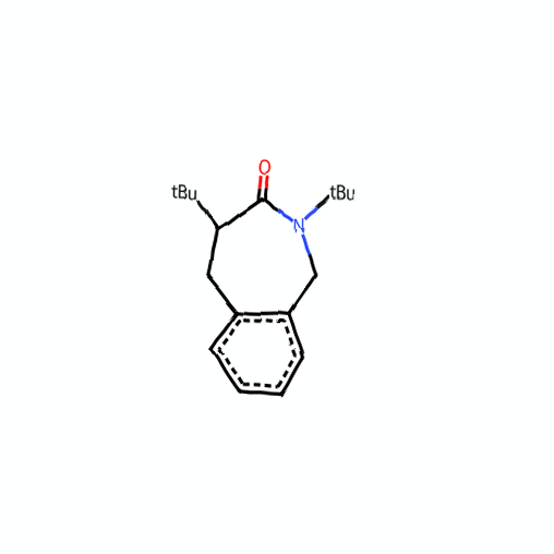 CC(C)(C)C1Cc2ccccc2CN(C(C)(C)C)C1=O